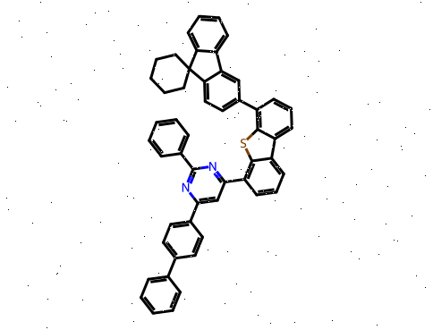 c1ccc(-c2ccc(-c3cc(-c4cccc5c4sc4c(-c6ccc7c(c6)-c6ccccc6C76CCCCC6)cccc45)nc(-c4ccccc4)n3)cc2)cc1